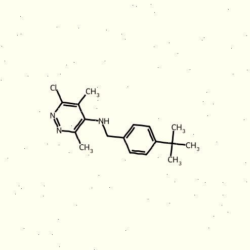 Cc1nnc(Cl)c(C)c1NCc1ccc(C(C)(C)C)cc1